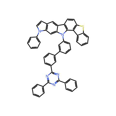 c1ccc(-c2nc(-c3ccccc3)nc(-c3cccc(-c4cccc(-n5c6cc7c(ccn7-c7ccccc7)cc6c6ccc7sc8ccccc8c7c65)c4)c3)n2)cc1